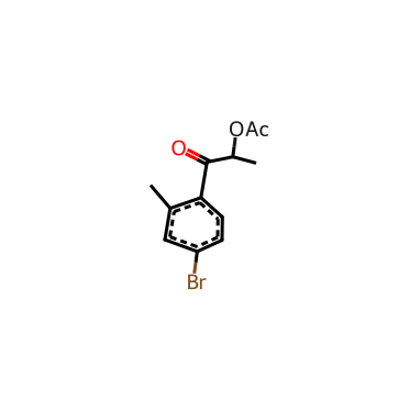 CC(=O)OC(C)C(=O)c1ccc(Br)cc1C